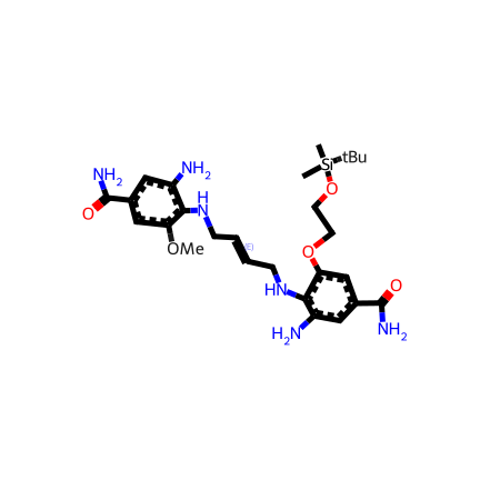 COc1cc(C(N)=O)cc(N)c1NC/C=C/CNc1c(N)cc(C(N)=O)cc1OCCO[Si](C)(C)C(C)(C)C